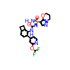 N[S@@](=O)(=NC(=O)Nc1c(-c2ccnc(OC(F)F)c2)ccc2c1CC2)c1cnn2c1OCCC2